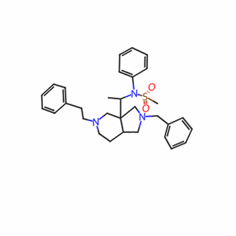 CC(N(c1ccccc1)S(C)(=O)=O)C12CN(CCc3ccccc3)CCC1CN(Cc1ccccc1)C2